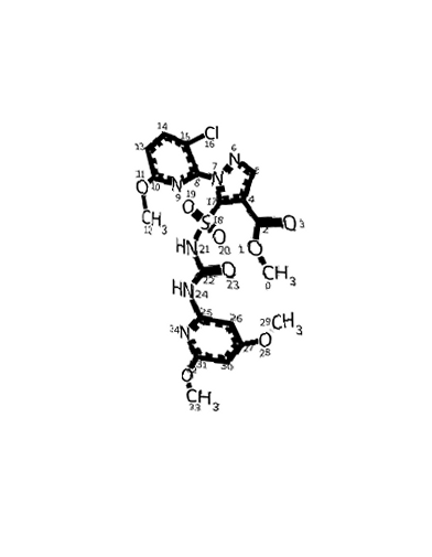 COC(=O)c1cnn(-c2nc(OC)ccc2Cl)c1S(=O)(=O)NC(=O)Nc1cc(OC)cc(OC)n1